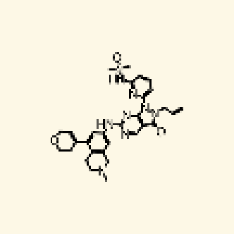 C=CCn1c(=O)c2cnc(Nc3cc4c(c(C5=CCOCC5)c3)CCN(C)C4)nc2n1-c1cccc(N[SH](C)(C)=O)n1